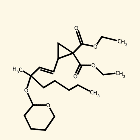 CCCCCC(C)(C=CC1CC1(C(=O)OCC)C(=O)OCC)OC1CCCCO1